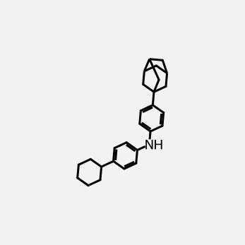 c1cc(C2CCCCC2)ccc1Nc1ccc(C23CC4CC(C2)C(C4)C3)cc1